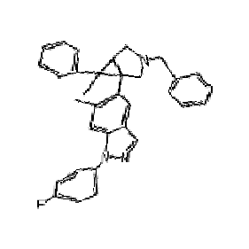 Cc1cc2c(cnn2-c2ccc(F)cc2)cc1C12CN(Cc3ccccc3)CC1C2(C)c1ccccc1